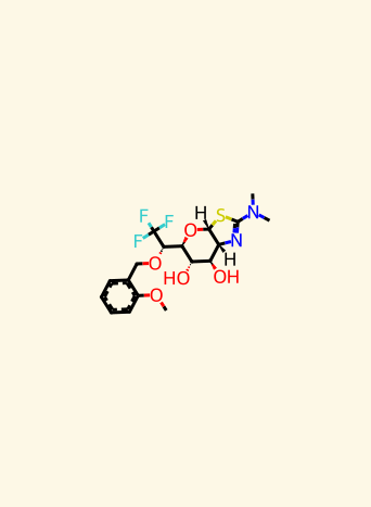 COc1ccccc1CO[C@@H]([C@H]1O[C@@H]2SC(N(C)C)=N[C@@H]2[C@@H](O)[C@@H]1O)C(F)(F)F